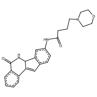 O=C(CCCN1CCOCC1)Nc1ccc2c(c1)C1NC(=O)c3ccccc3C1=C2